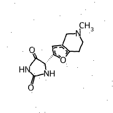 CN1CCc2oc([C@@H]3NC(=O)NC3=O)cc2C1